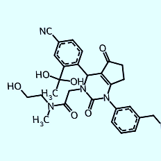 CN(CCO)C(=O)CN1C(=O)N(c2cccc(CF)c2)C2=C(C(=O)CC2)C1c1ccc(C#N)cc1C(C)(O)O